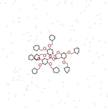 O=C(O[C@@H]1Cc2c(OCc3ccccc3)cc(OCc3ccccc3)cc2O[C@H]1c1cc(OCc2ccccc2)c(OCc2ccccc2)c(OCc2ccccc2)c1)c1cc(OCc2ccccc2)c(OCc2ccccc2)cc1OCc1ccccc1